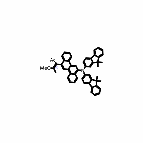 CO/C(C)=C(\C(C)=O)c1cc2c3ccccc3c(N(c3ccc4c(c3)C(C)(C)c3ccccc3-4)c3ccc4c(c3)C(C)(C)c3ccccc3-4)cc2c2ccccc12